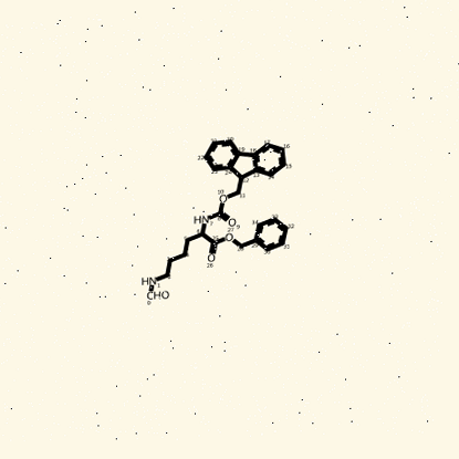 O=CNCCCCC(NC(=O)OCC1c2ccccc2-c2ccccc21)C(=O)OCc1ccccc1